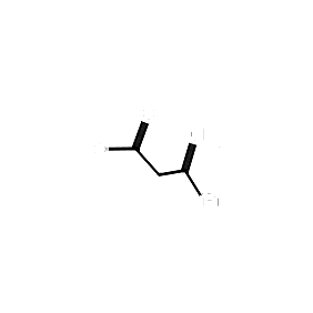 C=C(CC([O])=O)C(C)C